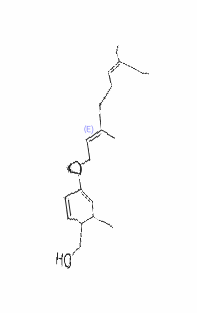 CC(C)=CCC/C(C)=C/COC1=CC(C)C(CO)C=C1